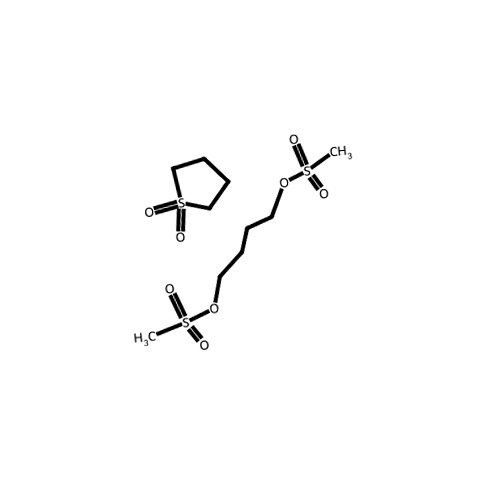 CS(=O)(=O)OCCCCOS(C)(=O)=O.O=S1(=O)CCCC1